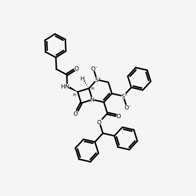 O=C(Cc1ccccc1)N[C@@H]1C(=O)N2C(C(=O)OC(c3ccccc3)c3ccccc3)=C([S+]([O-])c3ccccc3)C[S+]([O-])[C@H]12